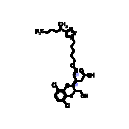 CCCCP(C)c1cn(CCCCCO/N=C/C(CC(=O)O)=C2\Sc3c(Cl)ccc(Cl)c3SC2CO)nn1